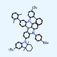 Cc1cc2c3c(c1)N(c1ccc(C(C)(C)C)cc1-c1ccccc1)c1cc(-c4c(C)cccc4C)ccc1B3c1ccc(N3c4ccc(C(C)(C)C)cc4C4(C)CCCCC34C)cc1N2c1ccc(C(C)(C)C)cc1